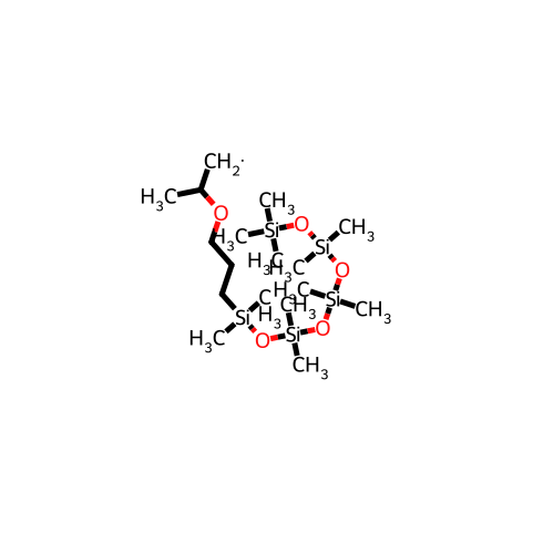 [CH2]C(C)OCCC[Si](C)(C)O[Si](C)(C)O[Si](C)(C)O[Si](C)(C)O[Si](C)(C)C